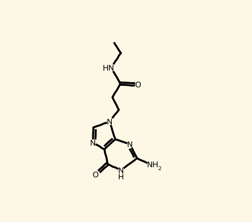 CCNC(=O)CCn1cnc2c(=O)[nH]c(N)nc21